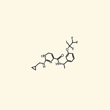 CC(NC(=O)C1=CCNC(NCC2CC2)=N1)c1cccc(OC(F)(I)C(F)F)c1